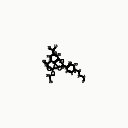 CCCCc1ccc(C(=O)Oc2cc(C(C)C)cc(C(C)C)c2OC(=O)OCC)cc1